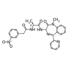 C[C@H](NC(=O)Cc1cccc([N+](=O)[O-])c1)C(=O)NC1N=C(c2ccccn2)c2ccccc2N(C)C1=O